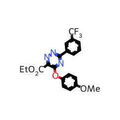 CCOC(=O)c1nnc(-c2cccc(C(F)(F)F)c2)nc1Oc1ccc(OC)cc1